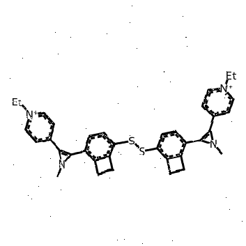 CC[n+]1ccc(C2=C(c3ccc(SSc4ccc(C5=C(c6cc[n+](CC)cc6)N5C)c5c4CC5)c4c3CC4)N2C)cc1